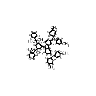 Cc1ccc(N(c2ccc(C)cc2)c2ccc3c(c2)c2cc(N(c4ccc(C)cc4)c4ccc(C)cc4)ccc2n3-c2cc(C(C)(C)c3ccccc3)cc(C(C)(C)c3ccccc3)c2)cc1